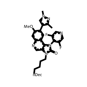 CCCCCCCCCCCCCCn1c(=O)n(-c2c(F)cncc2F)c2c3cc(-c4cn(C)nc4C)c(OC)cc3ncc21